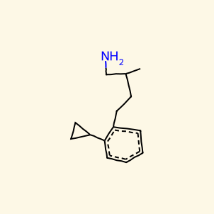 CC(CN)CCc1ccccc1C1CC1